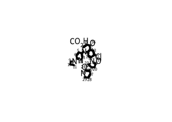 O=C(O)c1cn(-c2ccc(N3CCC3)nc2)c2cc(N3C(=O)CC[C@@H]3COc3ccccn3)c(Cl)cc2c1=O